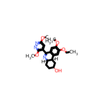 CCOc1cc2c(cc1OC)C(c1cc(OC)nnc1OC)=N[C@@H]1CC[C@@H](O)C[C@H]21